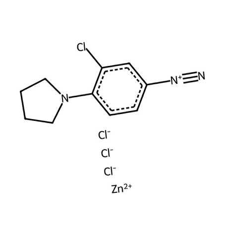 N#[N+]c1ccc(N2CCCC2)c(Cl)c1.[Cl-].[Cl-].[Cl-].[Zn+2]